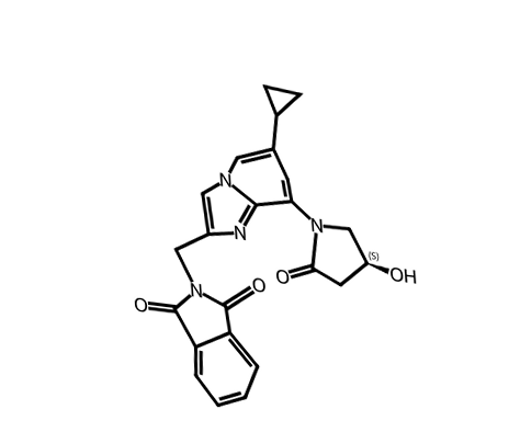 O=C1c2ccccc2C(=O)N1Cc1cn2cc(C3CC3)cc(N3C[C@@H](O)CC3=O)c2n1